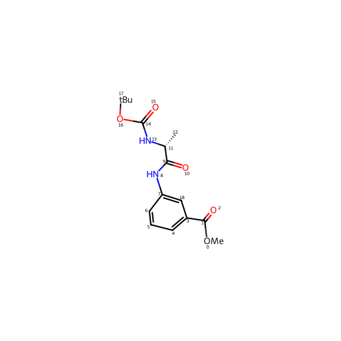 COC(=O)c1cccc(NC(=O)[C@@H](C)NC(=O)OC(C)(C)C)c1